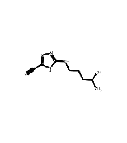 CC(C)CCCNc1nnc(C#N)[nH]1